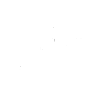 Cc1ccc2c(N(Cc3cccnc3)C(=O)C3CCCNC3)nc(-c3ccccc3O)nc2c1